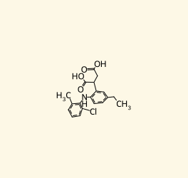 CCc1ccc(Nc2c(C)cccc2Cl)c(C(CC(=O)O)C(=O)O)c1